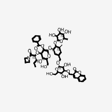 CCC[C@H](OC1C(OC(=O)c2ccccc2)[C@H](O[C@@H]2CC(CO[C@H]3OC(CO)[C@@H](O)C(OCc4cc5ccccc5oc4=O)C3O)C[C@H](C)C2O[C@@H]2OC(C)[C@@H](O)C(O)C2O)OC(CO)[C@@H]1O)C(=O)N1CCC1